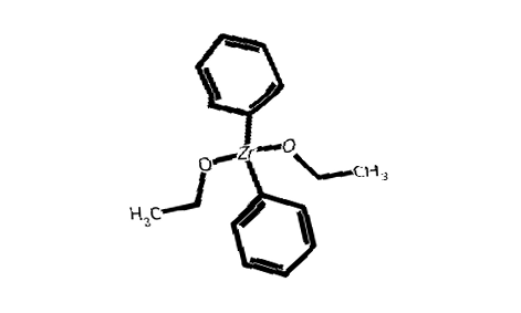 CC[O][Zr]([O]CC)([c]1ccccc1)[c]1ccccc1